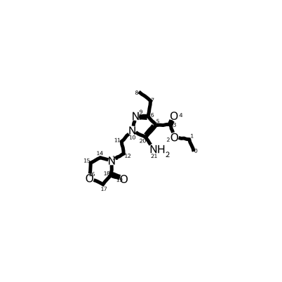 CCOC(=O)c1c(CC)nn(CCN2CCOCC2=O)c1N